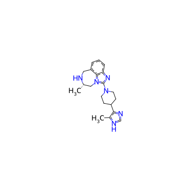 Cc1[nH]cnc1C1CCN(c2nc3cccc4c3n2C[C@H](C)NC4)CC1